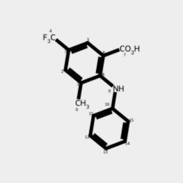 Cc1cc(C(F)(F)F)cc(C(=O)O)c1Nc1ccccc1